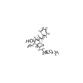 CC(C)c1c(O)cc(/C=C/c2ccccc2)cc1OC(=O)CCCC(=O)O